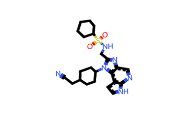 N#CCC1CCC(n2c(CNS(=O)(=O)C3CCCCC3)nc3cnc4[nH]ccc4c32)CC1